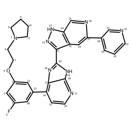 Fc1cc(OCCN2CCCC2)cc(-c2ccnc3[nH]c(-c4n[nH]c5cnc(-c6cccnc6)cc45)nc23)c1